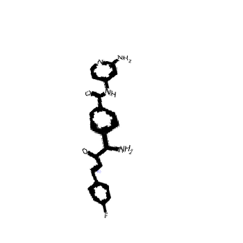 Nc1cc(NC(=O)c2ccc(C(N)C(=O)/C=C/c3ccc(F)cc3)cc2)ccn1